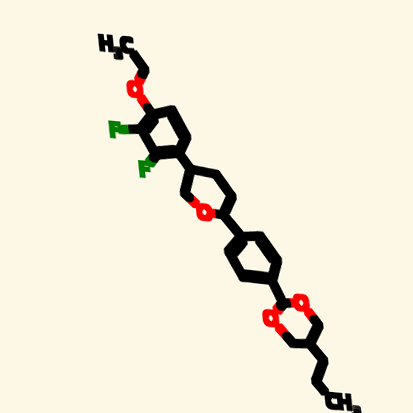 CCCC1COC(c2ccc(C3CCC(c4ccc(OCC)c(F)c4F)CO3)cc2)OC1